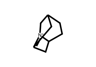 C1CC2CC3=[N+]2CC1C3